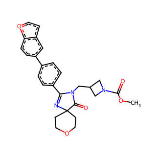 COC(=O)N1CC(CN2C(=O)C3(CCOCC3)N=C2c2ccc(-c3ccc4occc4c3)cc2)C1